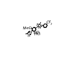 COc1cc(-c2nc(C)n(-c3cccc(C(F)(F)F)c3)n2)ccc1-n1cnc(C)c1.Cl.Cl